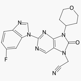 N#CCn1c(=O)n(C2CCOCC2)c2nc(-n3cnc4ccc(F)cc43)ncc21